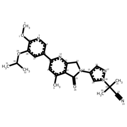 COc1ncc(-c2cc(C)c3c(n2)CN(c2cnn(C(C)(C)C#N)c2)C3=O)cc1OC(C)C